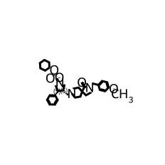 COc1ccc(CN2CCC3(CCN(C[C@H]4CN(OC(=O)OC5CCCCC5)C[C@@H]4c4ccccc4)CC3)C2=O)cc1